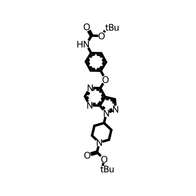 CC(C)(C)OC(=O)Nc1ccc(Oc2ncnc3c2cnn3C2CCN(C(=O)OC(C)(C)C)CC2)cc1